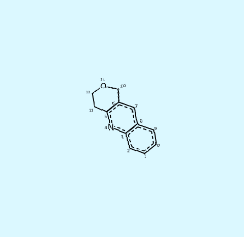 c1ccc2nc3c(cc2c1)COCC3